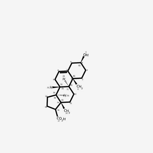 C[C@]12CC[C@H](O)CC1=CC[C@@H]1[C@@H]2CC[C@]2(C)C(C(=O)O)CC[C@@H]12